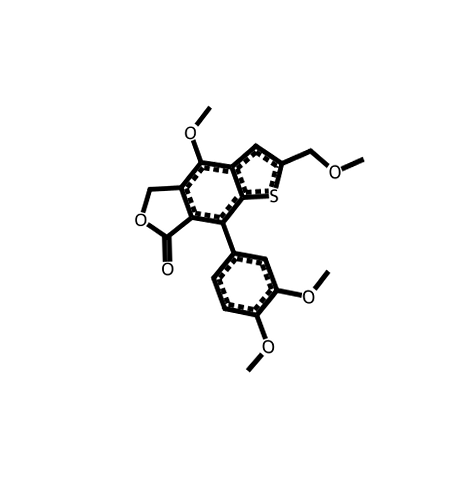 COCc1cc2c(OC)c3c(c(-c4ccc(OC)c(OC)c4)c2s1)C(=O)OC3